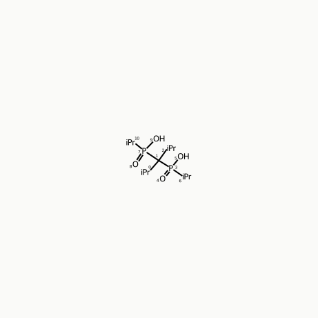 CC(C)C(C(C)C)(P(=O)(O)C(C)C)P(=O)(O)C(C)C